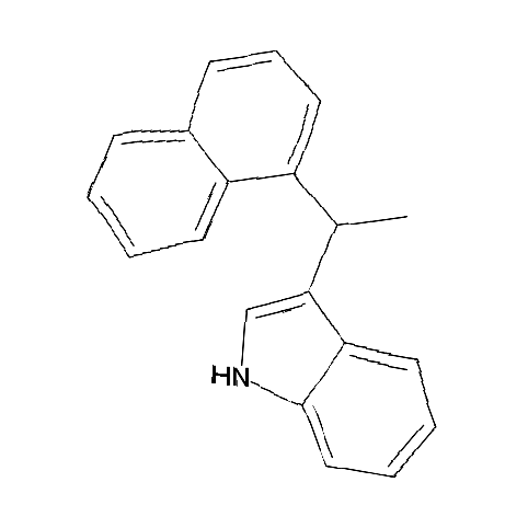 CC(c1cccc2ccccc12)c1c[nH]c2ccccc12